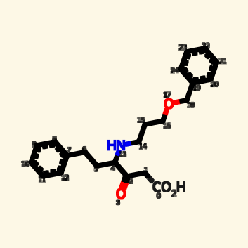 O=C(O)CC(=O)C(CCc1ccccc1)NCCCOCc1ccccc1